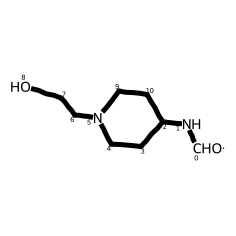 O=[C]NC1CCN(CCO)CC1